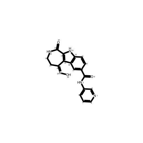 O=C(Nc1cccnc1)c1ccc2[nH]c3c(c2c1)/C(=N\O)CCNC3=O